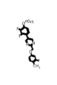 CCCCCCCCOc1ccc(-c2cnc(COc3ccc(C)c(F)c3)nc2)c(F)c1F